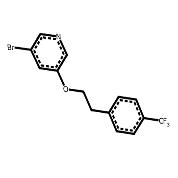 FC(F)(F)c1ccc(CCOc2cncc(Br)c2)cc1